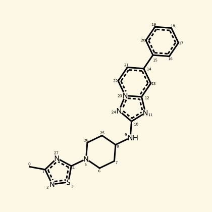 Cc1nsc(N2CCC(Nc3nc4cc(-c5ccccc5)ccn4n3)CC2)n1